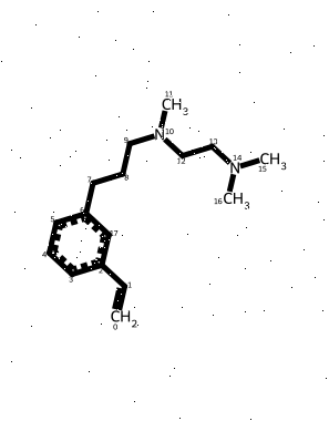 C=Cc1cccc(CCCN(C)CCN(C)C)c1